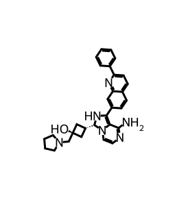 NC1=NC=CN2C1=C(c1ccc3ccc(-c4ccccc4)nc3c1)NC2[C@H]1C[C@@](O)(CN2CCCC2)C1